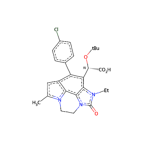 CCn1c(=O)n2c3c4c(cc(C)n4CC2)c(-c2ccc(Cl)cc2)c([C@H](OC(C)(C)C)C(=O)O)c31